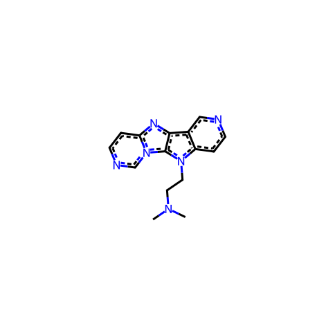 CN(C)CCn1c2ccncc2c2nc3ccncn3c21